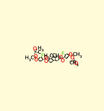 CCC1(COC(C)Oc2ccc(C(=O)Oc3ccc4c(c3)C(C)(C)c3cc(OC(=O)c5ccc(OC(C)OCC6(CC)COC6)cc5F)ccc3-4)c(F)c2)COC1